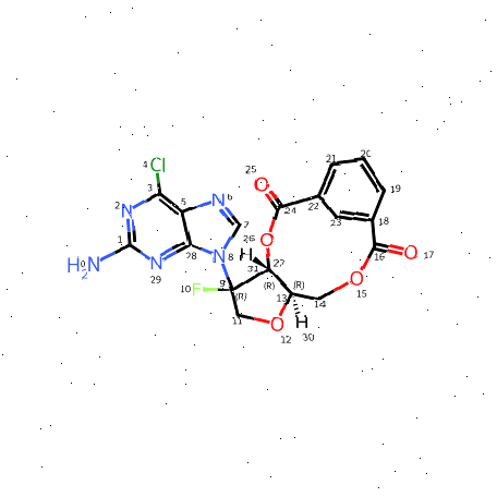 Nc1nc(Cl)c2ncn([C@@]3(F)CO[C@@H]4COC(=O)c5cccc(c5)C(=O)O[C@H]43)c2n1